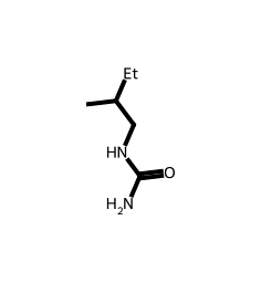 CCC(C)CNC(N)=O